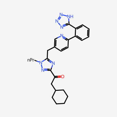 CCCn1nc(C(=O)CC2CCCCC2)nc1Cc1ccc(-c2ccccc2-c2nnn[nH]2)nc1